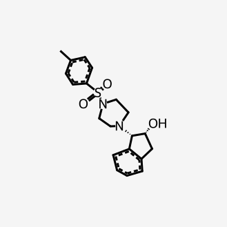 Cc1ccc(S(=O)(=O)N2CCN([C@H]3c4ccccc4C[C@H]3O)CC2)cc1